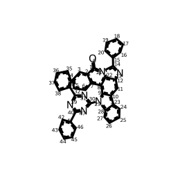 O=c1c2ccccc2c2c3c(cc4nc(-c5ccccc5)n1c42)c1ccccc1n3-c1nc(-c2ccccc2)nc(-c2ccccc2)n1